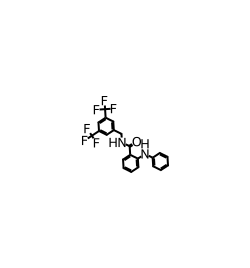 O=C(NCc1cc(C(F)(F)F)cc(C(F)(F)F)c1)c1ccccc1Nc1ccccc1